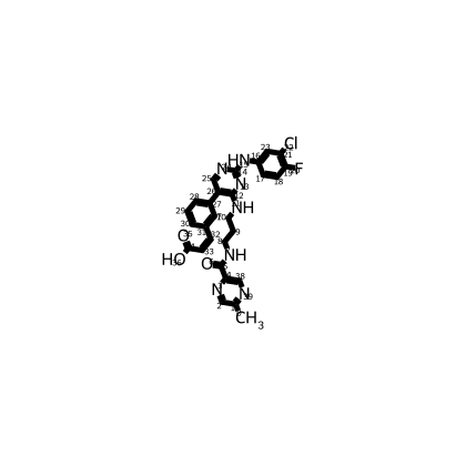 Cc1cnc(C(=O)NCCCNc2nc(Nc3ccc(F)c(Cl)c3)ncc2-c2cccc(C=CC(=O)O)c2)cn1